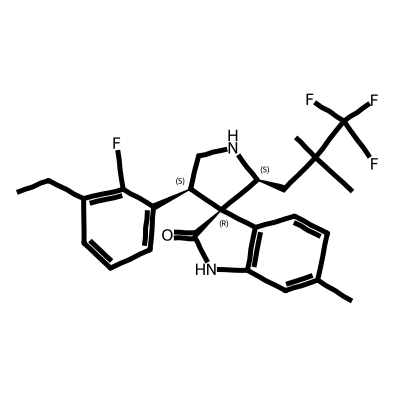 CCc1cccc([C@H]2CN[C@@H](CC(C)(C)C(F)(F)F)[C@@]23C(=O)Nc2cc(C)ccc23)c1F